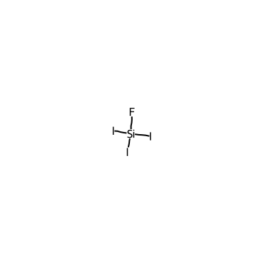 F[Si](I)(I)I